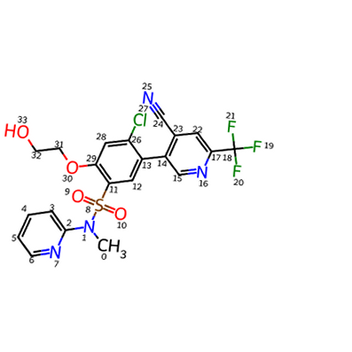 CN(c1ccccn1)S(=O)(=O)c1cc(-c2cnc(C(F)(F)F)cc2C#N)c(Cl)cc1OCCO